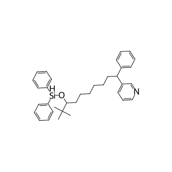 CC(C)(C)C(CCCCCCC(c1ccccc1)c1cccnc1)O[SiH](c1ccccc1)c1ccccc1